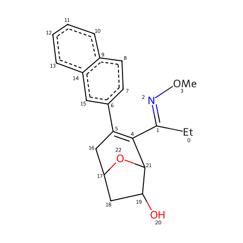 CCC(=NOC)C1=C(c2ccc3ccccc3c2)CC2CC(O)C1O2